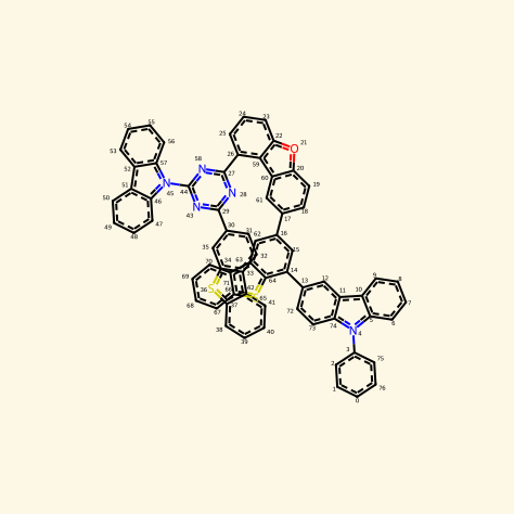 c1ccc(-n2c3ccccc3c3cc(-c4cc(-c5ccc6oc7cccc(-c8nc(-c9ccc%10c(c9)sc9ccccc9%10)nc(-n9c%10ccccc%10c%10ccccc%109)n8)c7c6c5)cc5c4sc4ccccc45)ccc32)cc1